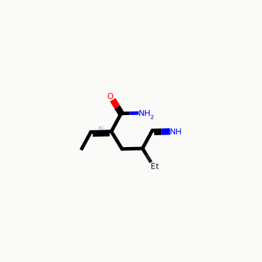 C/C=C(\CC(C=N)CC)C(N)=O